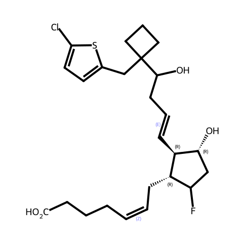 O=C(O)CCC/C=C\C[C@H]1C(F)C[C@@H](O)[C@@H]1/C=C/CC(O)C1(Cc2ccc(Cl)s2)CCC1